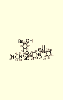 CN(C)C1CCN(C(=O)C(Cc2ccc(O)c(Br)c2)OC(=O)N2CCC(N3CCc4ccccc4NC3=O)CC2)CC1